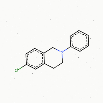 Clc1ccc2c(c1)CCN(c1ccccc1)C2